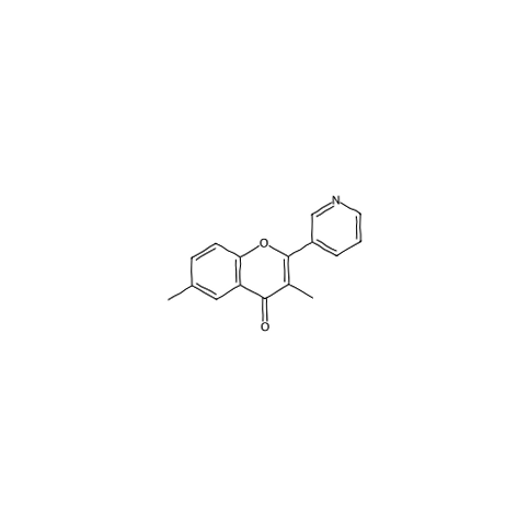 Cc1ccc2oc(-c3cccnc3)c(C)c(=O)c2c1